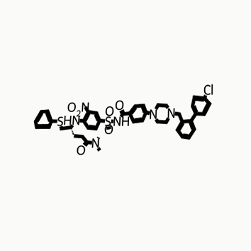 CN(C)C(=O)CC[C@H](CSc1ccccc1)Nc1ccc(S(=O)(=O)NC(=O)c2ccc(N3CCN(Cc4ccccc4-c4ccc(Cl)cc4)CC3)cc2)cc1[N+](=O)[O-]